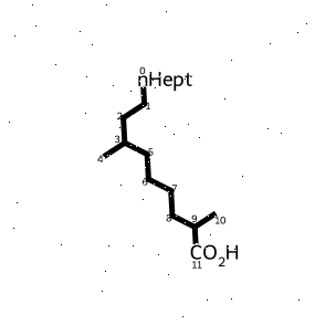 CCCCCCCCCC(C)CCCCC(C)C(=O)O